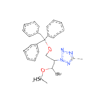 Cc1nnn(C(COC(c2ccccc2)(c2ccccc2)c2ccccc2)C(O[SiH](C)C)C(C)(C)C)n1